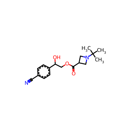 CC(C)(C)N1CC(C(=O)OCC(O)c2ccc(C#N)cc2)C1